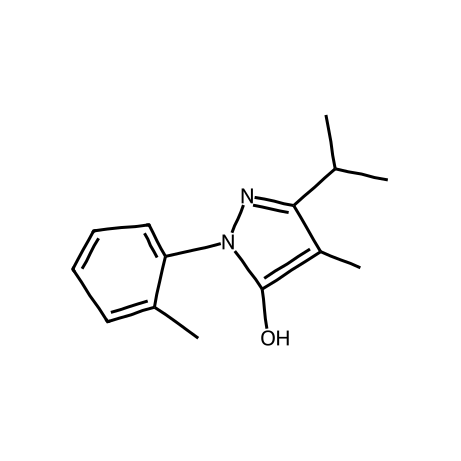 Cc1ccccc1-n1nc(C(C)C)c(C)c1O